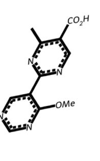 COc1ncncc1-c1ncc(C(=O)O)c(C)n1